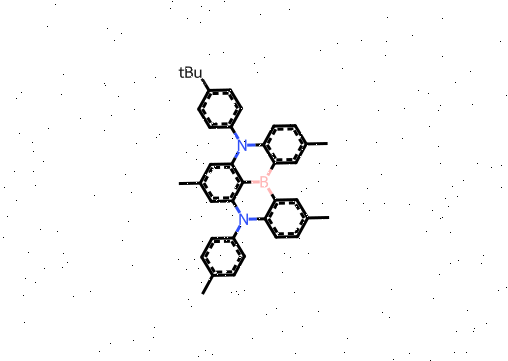 Cc1ccc(N2c3ccc(C)cc3B3c4cc(C)ccc4N(c4ccc(C(C)(C)C)cc4)c4cc(C)cc2c43)cc1